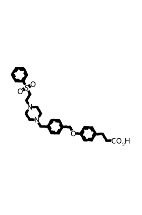 O=C(O)CCc1ccc(OCc2ccc(CN3CCN(CCS(=O)(=O)c4ccccc4)CC3)cc2)cc1